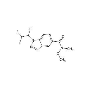 CON(C)C(=O)c1cc2cnn(C(F)C(F)F)c2cn1